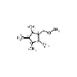 BOCC1C(C)C(=C)C(C)C1C